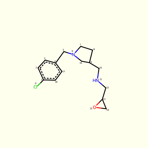 Clc1ccc(CN2CCC(CNCC3CO3)C2)cc1